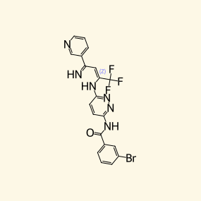 N=C(/C=C(\Nc1ccc(NC(=O)c2cccc(Br)c2)nn1)C(F)(F)F)c1cccnc1